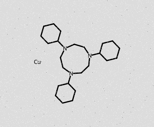 C1CCC(N2CCN(C3CCCCC3)CCN(C3CCCCC3)CC2)CC1.[Cu]